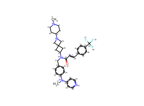 CN1CCC(N2CC3(CC(N(Cc4ccc(N(C)c5ccncc5)cc4)C(=O)/C=C/c4ccc(C(F)(F)F)cc4)C3)C2)CC1